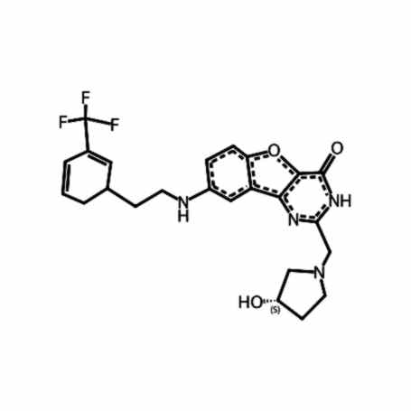 O=c1[nH]c(CN2CC[C@H](O)C2)nc2c1oc1ccc(NCCC3C=C(C(F)(F)F)C=CC3)cc12